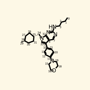 CCCCNc1ncc2c(-c3ccc(N4CCOCC4)cc3)cn(C[C@H]3CC[C@H](C)CC3)c2n1